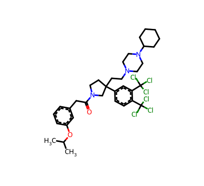 CC(C)Oc1cccc(CC(=O)N2CCC(CCN3CCN(C4CCCCC4)CC3)(c3ccc(C(Cl)(Cl)Cl)c(C(Cl)(Cl)Cl)c3)C2)c1